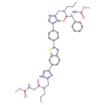 CCCN(Cc1nc(-c2ccc3cc(-c4ccc(-c5cnc(CN(CCC)C(=O)[C@H](NC(=O)OC)c6ccccc6)[nH]5)cc4)sc3c2)c[nH]1)C(=O)CNC(=O)OC